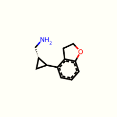 NC[C@H]1CC1c1cccc2c1CCO2